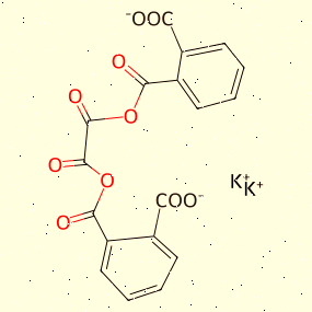 O=C(OC(=O)c1ccccc1C(=O)[O-])C(=O)OC(=O)c1ccccc1C(=O)[O-].[K+].[K+]